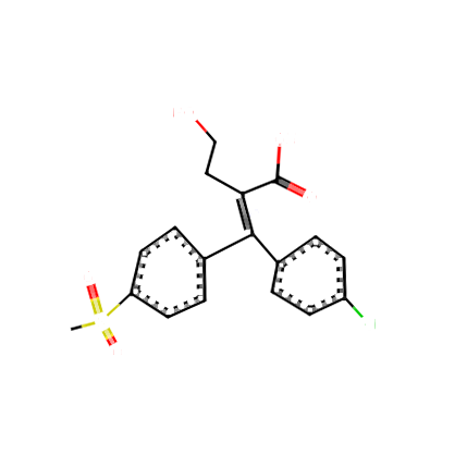 CS(=O)(=O)c1ccc(/C(=C(\CCO)C(=O)O)c2ccc(Cl)cc2)cc1